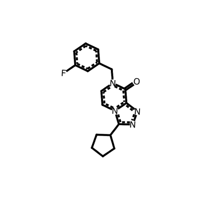 O=c1c2nnc(C3CCCC3)n2ccn1Cc1cccc(F)c1